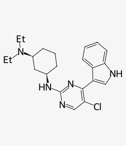 CCN(CC)[C@H]1CCC[C@@H](Nc2ncc(Cl)c(-c3c[nH]c4ccccc34)n2)C1